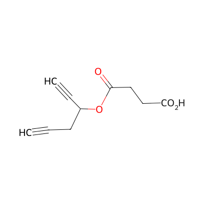 C#CCC(C#C)OC(=O)CCC(=O)O